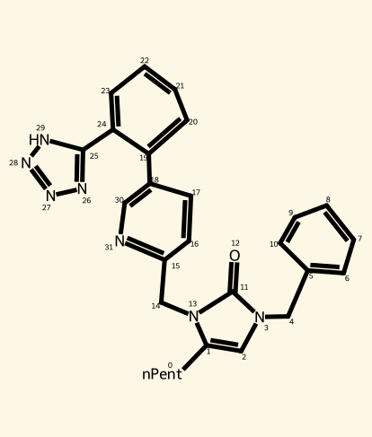 CCCCCc1cn(Cc2ccccc2)c(=O)n1Cc1ccc(-c2ccccc2-c2nnn[nH]2)cn1